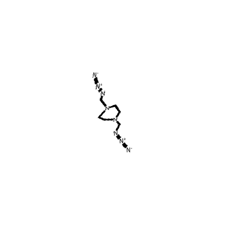 [N-]=[N+]=NCN1CCN(CN=[N+]=[N-])CC1